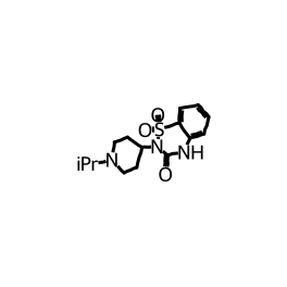 CC(C)N1CCC(N2C(=O)Nc3ccccc3S2(=O)=O)CC1